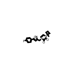 CC1(n2ccn(Cc3cc(-c4ccc(F)cc4)on3)c(=O)c2=O)CCC1